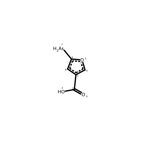 O=C(O)c1coc([AsH2])c1